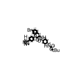 CC(C)(C)OC(=O)NC[C@H]1CC[C@H](C(=O)N[C@@H](Cc2ccc(Br)cc2)C(=O)Nc2ccc(-c3nnn[nH]3)cc2)CC1